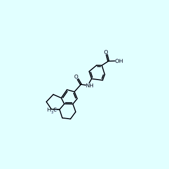 CC12CCCc3cc(C(=O)Nc4ccc(C(=O)O)cc4)cc(c31)CCC2